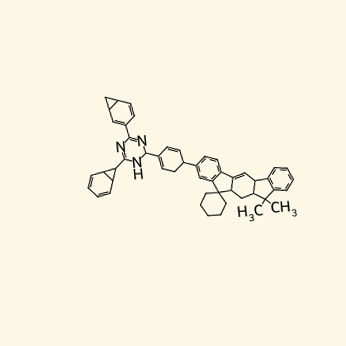 CC1(C)c2ccccc2C2C=C3c4ccc(C5C=CC(C6N=C(C7=CC8CC8C=C7)N=C(C7C8C=CC=CC87)N6)=CC5)cc4C4(CCCCC4)C3CC21